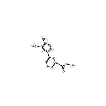 CC(C)(C)OC(=O)N1CCC=C(c2cnc(N)c([N+](=O)[O-])c2)C1